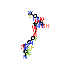 Cc1ncsc1-c1ccc(CNC(=O)[C@@H]2C[C@@H](O)CN2C(=O)[C@@H](NC(=O)COCCOc2ccc(-c3ccc(N4C(S)N(c5ccc(C#N)c(C(F)(F)F)c5F)C(=O)C4(C)C)cn3)cc2F)C(C)(C)C)cc1